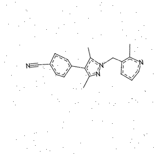 Cc1ncccc1Cn1nc(C)c(-c2ccc(C#N)cc2)c1C